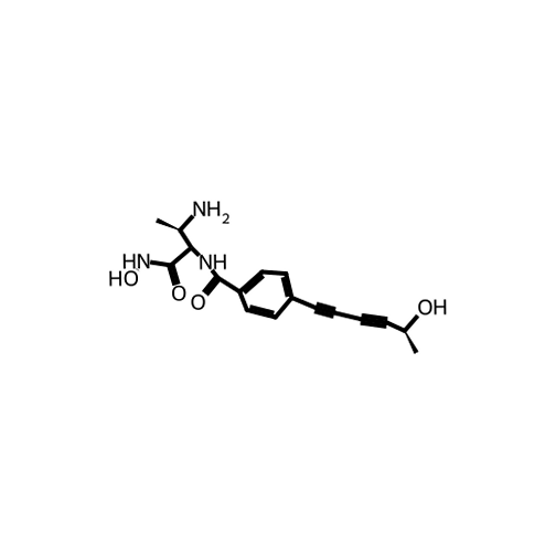 C[C@H](O)C#CC#Cc1ccc(C(=O)NC(C(=O)NO)[C@@H](C)N)cc1